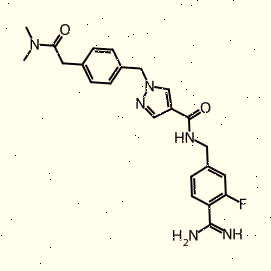 CN(C)C(=O)Cc1ccc(Cn2cc(C(=O)NCc3ccc(C(=N)N)c(F)c3)cn2)cc1